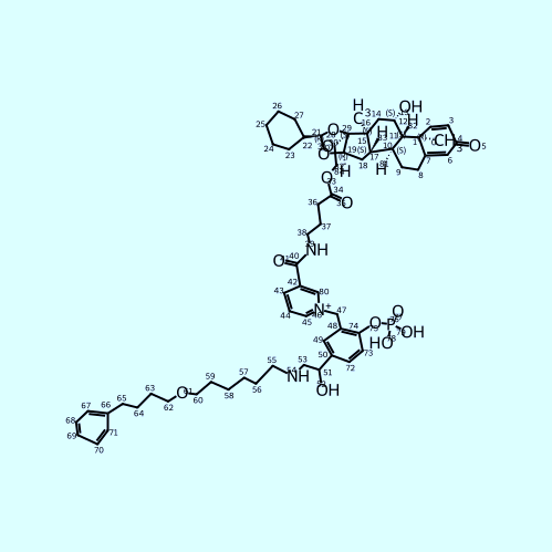 C[C@]12C=CC(=O)C=C1CC[C@@H]1[C@@H]2[C@@H](O)C[C@@]2(C)[C@H]1C[C@H]1O[C@@H](C3CCCCC3)O[C@]12C(=O)COC(=O)CCCNC(=O)c1ccc[n+](Cc2cc(C(O)CNCCCCCCOCCCCc3ccccc3)ccc2OP(=O)(O)O)c1